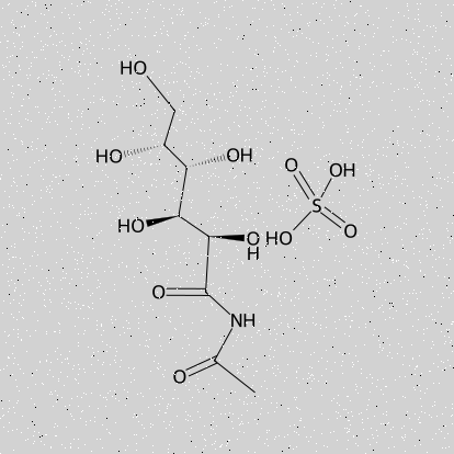 CC(=O)NC(=O)[C@H](O)[C@@H](O)[C@@H](O)[C@H](O)CO.O=S(=O)(O)O